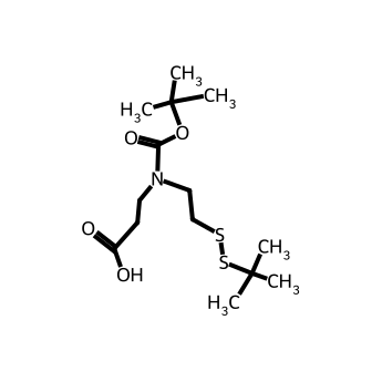 CC(C)(C)OC(=O)N(CCSSC(C)(C)C)CCC(=O)O